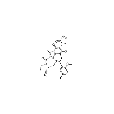 CCOC(=O)c1sc2c(c1C)c(=O)n(C(C)C(N)=O)c(=O)n2C[C@H](OCCC#N)c1cc(F)ccc1OC